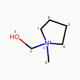 C[N+]1(CO)CCCC1